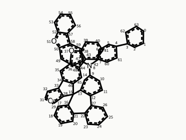 c1ccc(-c2ccc(N(c3ccc4c(c3)C3(c5ccccc5-c5ccccc5-4)c4ccccc4-c4cc5oc6ccccc6c5cc43)c3ccc4oc5ccccc5c4c3)cc2)cc1